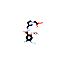 COc1cc(N)c(Cl)cc1C(=O)NCC1CCN(CC(=O)O)C1